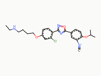 [C-]#[N+]c1cc(-c2nc(-c3ccc(OCCCCNCC)cc3Cl)no2)ccc1OC(C)C